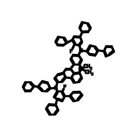 C[Si]1(C)c2cc(N(c3ccc(-c4ccccc4)cc3)c3cc(-c4ccccc4)cc(-c4ccccc4)c3F)ccc2-c2cc3ccc(N(c4ccc(-c5ccccc5)cc4)c4cc(-c5ccccc5)cc(-c5ccccc5)c4F)cc3c3cccc1c23